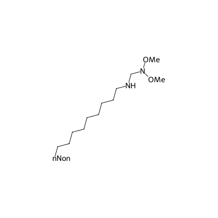 CCCCCCCCCCCCCCCCCCNCN(OC)OC